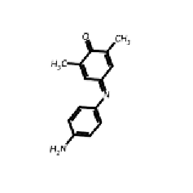 CC1=CC(=Nc2ccc(N)cc2)C=C(C)C1=O